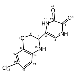 O=c1[nH]cc(C2COc3cc(Cl)ccc3N2)[nH]c1=O